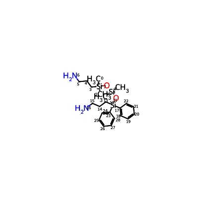 C[Si](C)(CCCN)O[Si](C)(C)O[Si](CCCN)(c1ccccc1)c1ccccc1